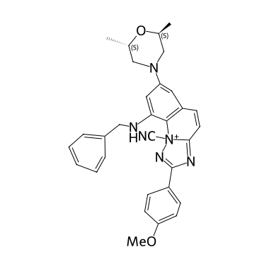 COc1ccc(C2=N[N+]3(C#N)C(=N2)C=Cc2cc(N4C[C@H](C)O[C@@H](C)C4)cc(NCc4ccccc4)c23)cc1